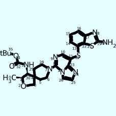 C[C@@H]1OCC2(CCN(c3ncc(Sc4cccc5nc(N)sc45)c4nccn34)CC2)[C@@H]1NC(=O)OC(C)(C)C